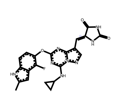 Cc1cc2c(F)c(Oc3nc(NC4CC4)n4ncc(/C=C5\NC(=O)NC5=O)c4n3)ccc2[nH]1